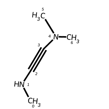 CNC#CN(C)C